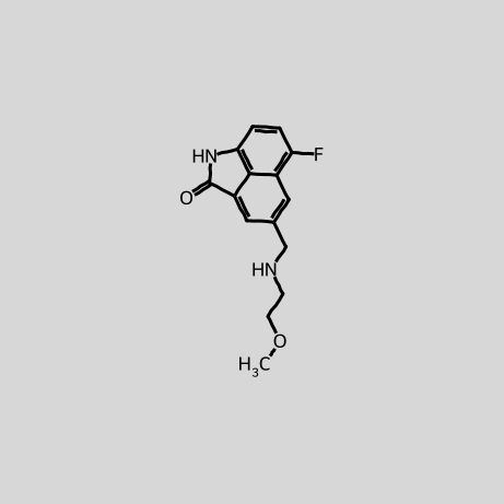 COCCNCc1cc2c3c(ccc(F)c3c1)NC2=O